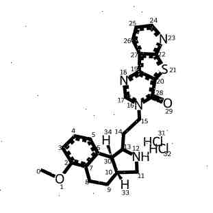 COc1cccc2c1CC[C@H]1CNC(CCn3cnc4c(sc5ncccc54)c3=O)[C@@H]21.Cl.Cl